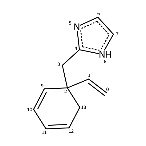 C=CC1(Cc2ncc[nH]2)C=CC=CC1